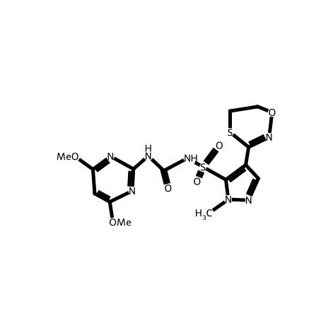 COc1cc(OC)nc(NC(=O)NS(=O)(=O)c2c(C3=NOCCS3)cnn2C)n1